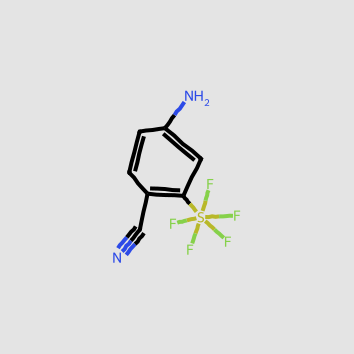 N#Cc1ccc(N)cc1S(F)(F)(F)(F)F